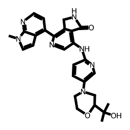 Cn1ccc2c(-c3ncc(Nc4ccc(N5CCOC(C(C)(C)O)C5)cn4)c4c3CNC4=O)ccnc21